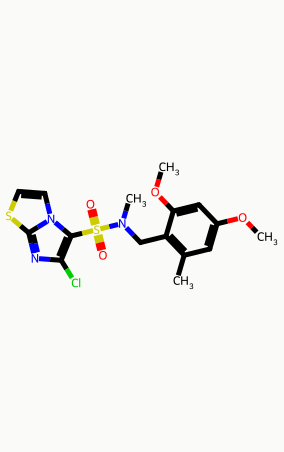 COc1cc(C)c(CN(C)S(=O)(=O)c2c(Cl)nc3sccn23)c(OC)c1